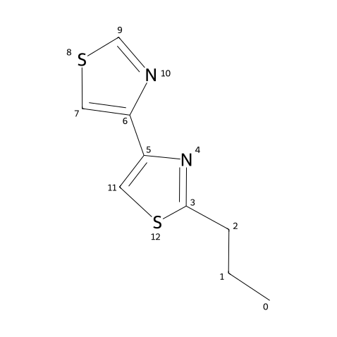 CCCc1nc(-c2cscn2)cs1